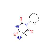 CC1(N)C(=O)NC(=O)N(C2CCCCC2)C1=O